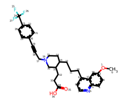 COc1ccc2nccc(CCCC3CCN(CC#Cc4ccc(C(F)(F)F)cc4)CC3CCC(=O)O)c2c1